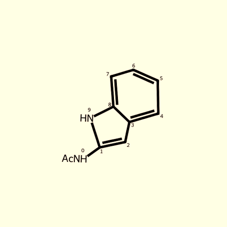 CC(=O)Nc1cc2ccccc2[nH]1